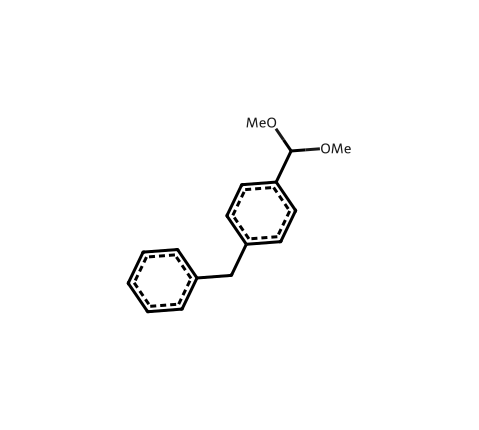 COC(OC)c1ccc(Cc2ccccc2)cc1